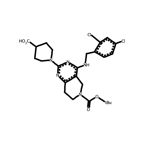 CC(C)(C)OC(=O)N1CCc2nc(N3CCC(C(=O)O)CC3)nc(NCc3ccc(Cl)cc3Cl)c2C1